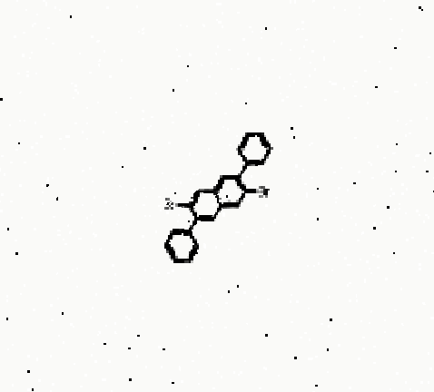 Brc1cc2cc(-c3ccccc3)c(Br)cc2cc1-c1ccccc1